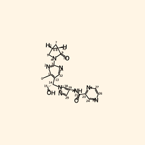 Cc1nc(N2C[C@@H]3C[C@@H]3C2=O)ncc1[C@@H](CO)n1cc(NC(=O)c2cnccn2)cn1